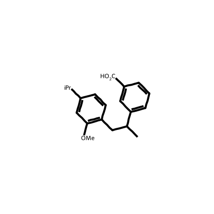 COc1cc(C(C)C)ccc1CC(C)c1cccc(C(=O)O)c1